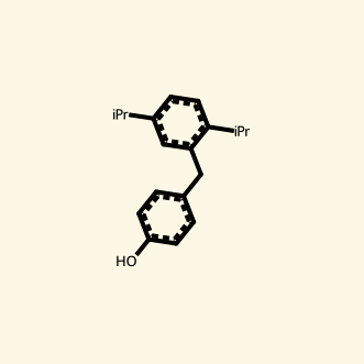 CC(C)c1ccc(C(C)C)c(Cc2ccc(O)cc2)c1